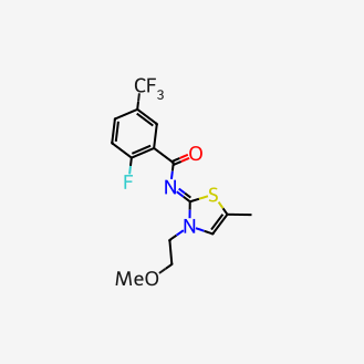 COCCn1cc(C)sc1=NC(=O)c1cc(C(F)(F)F)ccc1F